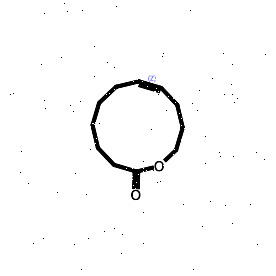 O=C1CCCCC/C=C\CCCO1